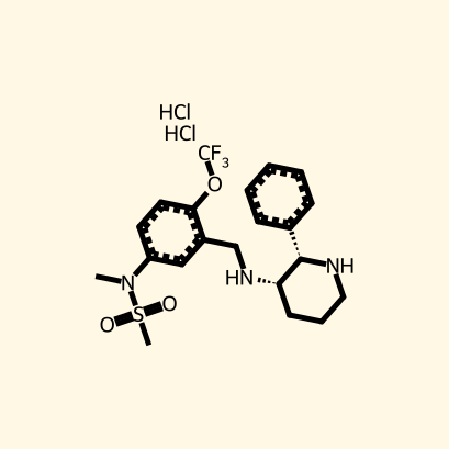 CN(c1ccc(OC(F)(F)F)c(CN[C@H]2CCCN[C@H]2c2ccccc2)c1)S(C)(=O)=O.Cl.Cl